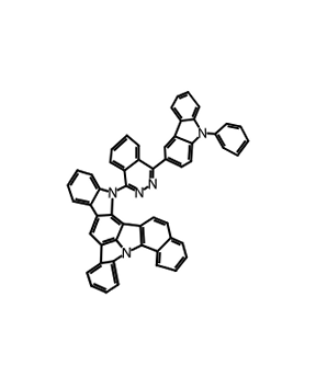 c1ccc(-n2c3ccccc3c3cc(-c4nnc(-n5c6ccccc6c6cc7c8ccccc8n8c9c%10ccccc%10ccc9c(c65)c78)c5ccccc45)ccc32)cc1